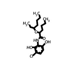 CCCCC(CC)OC(CCCC)C(=O)Nc1c(O)ccc(Cl)c1O